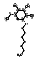 CCCCCCCS[C@@H]1O[C@H](CO)[C@@H](O)[C@H](O)[C@H]1O